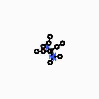 C1=CC(c2ccc(C3=C(n4c5ccccc5c5cc(-c6ccccc6)ccc54)[C@H]4C(C(c5nc(-c6ccccc6)nc(-c6ccccc6)n5)=C3)C4c3ccc(-c4ccccc4)cc3)cc2)=CCC1